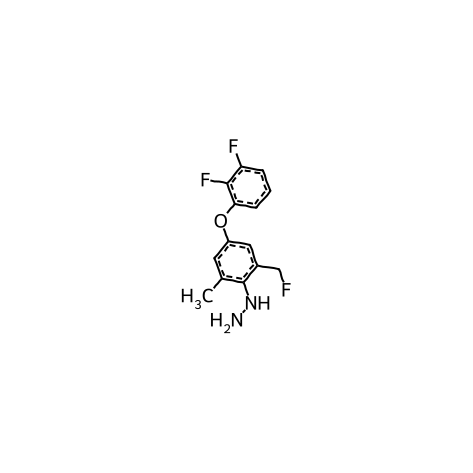 Cc1cc(Oc2cccc(F)c2F)cc(CF)c1NN